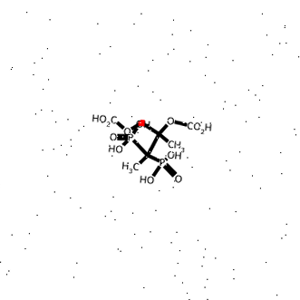 CC(COC(=O)O)(OC(=O)O)C(C)(P(=O)(O)O)P(=O)(O)O